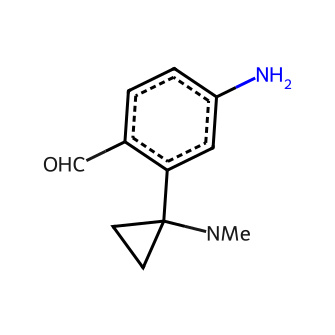 CNC1(c2cc(N)ccc2C=O)CC1